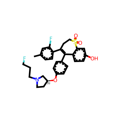 Cc1ccc(C2=C(c3ccc(O[C@H]4CCN(CCCF)C4)cc3)c3ccc(O)cc3S(=O)(=O)CC2)c(F)c1